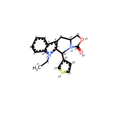 CCn1c2c(c3ccccc31)CC1COC(=O)N1C2c1ccsc1